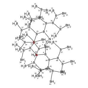 BB(B)B(B)B(B(/B=N/B(B(B(B(B)B)B(B)B)B(B(B)B)B(B)B)B(B(B(B)B)B(B)B)B(B(B)B)B(B)B)B(B(B(B)B)B(B)B)B(B(B)B)B(B)B)B(B(B)B)B(B)B